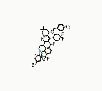 COc1ccc(COC2CC(C)(C)Cc3nc(C4CCN(c5ncc(Br)cn5)CC4)c(C(F)c4ccc(C(F)(F)F)cc4)c(C4CCC(F)(F)CC4)c32)cc1